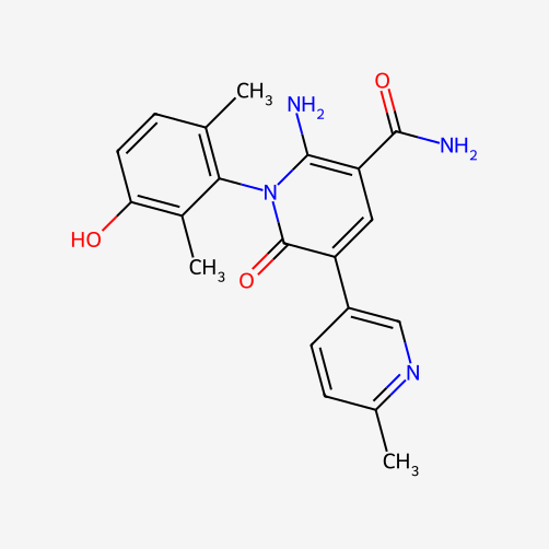 Cc1ccc(-c2cc(C(N)=O)c(N)n(-c3c(C)ccc(O)c3C)c2=O)cn1